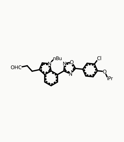 CCCCn1cc(CCC=O)c2cccc(-c3noc(-c4ccc(OC(C)C)c(Cl)c4)n3)c21